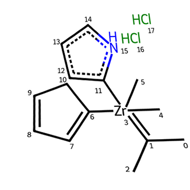 C[C](C)=[Zr]([CH3])([CH3])([C]1=CC=CC1)[c]1ccc[nH]1.Cl.Cl